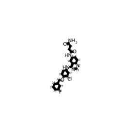 NC(=O)CCC(=O)Nc1ccc2ncnc(Nc3ccc(OCc4cccc(F)c4)c(Cl)c3)c2c1